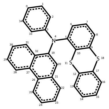 c1ccc(N(c2cccc3c2Sc2ccccc2S3)c2cc3ccccc3c3ccccc23)cc1